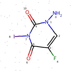 Nn1cc(F)c(=O)n(I)c1=O